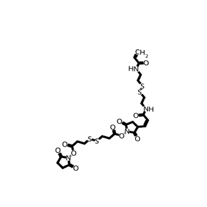 C=CC(=O)NCCSSCCNC(=O)/C=C\C1CC(=O)N(OC(=O)CCSSCCC(=O)ON2C(=O)CCC2=O)C1=O